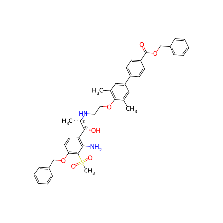 Cc1cc(-c2ccc(C(=O)OCc3ccccc3)cc2)cc(C)c1OCCN[C@@H](C)[C@H](O)c1ccc(OCc2ccccc2)c(S(C)(=O)=O)c1N